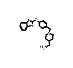 NCC1CCN(Cc2ccc(Oc3nc4ccccc4s3)cc2)CC1